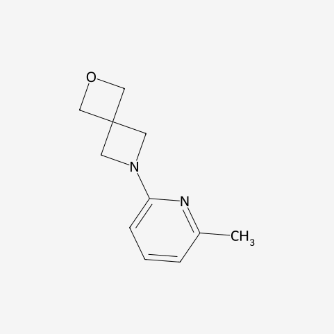 Cc1cccc(N2CC3(COC3)C2)n1